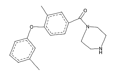 Cc1cccc(Oc2ccc(C(=O)N3CCNCC3)cc2C)c1